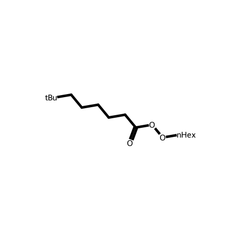 CCCCCCOOC(=O)CCCCCC(C)(C)C